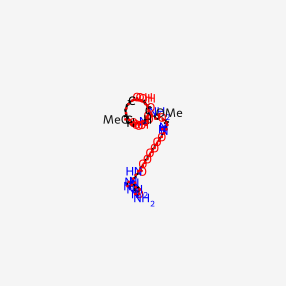 CO[C@H]1C[C@@H]2CC[C@@H](C)[C@@](O)(O2)C(=O)C(=O)N2CCCC[C@H]2C(=O)O[C@H]([C@H](N)C[C@@H]2CC[C@@H](OCCC(C)(C)Cc3cn(CCOCCOCCOCCOCCOCCOCCC(=O)NCCCCn4nc(-c5ccc6oc(N)nc6c5)c5c(N)ncnc54)nn3)[C@H](OC)C2)CC(=O)[C@H](C)/C=C(\C)[C@@H](O)[C@@H](O)C(=O)[C@H](C)C[C@H](C)/C=C/C=C/C=C/1C